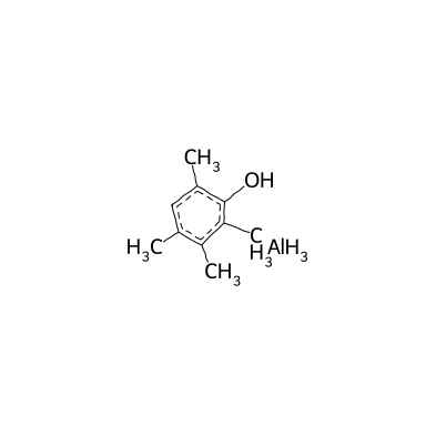 Cc1cc(C)c(O)c(C)c1C.[AlH3]